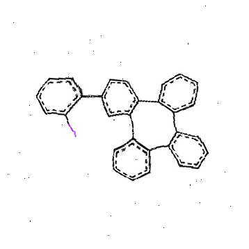 Ic1ccccc1-c1ccc2c(c1)-c1ccccc1-c1ccccc1-c1ccccc1-2